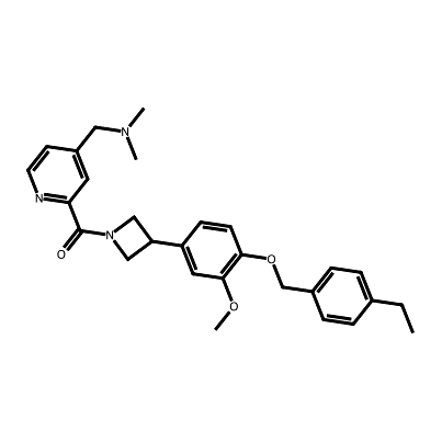 CCc1ccc(COc2ccc(C3CN(C(=O)c4cc(CN(C)C)ccn4)C3)cc2OC)cc1